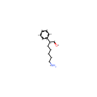 NCCCCCC(C=O)c1ccccc1